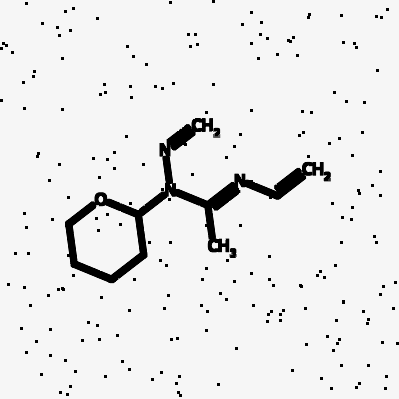 C=C/N=C(\C)N(N=C)C1CCCCO1